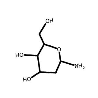 N[C]1CC(O)C(O)C(CO)O1